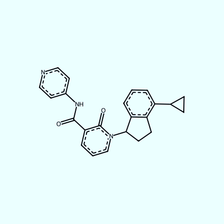 O=C(Nc1ccncc1)c1cccn(C2CCc3c(C4CC4)cccc32)c1=O